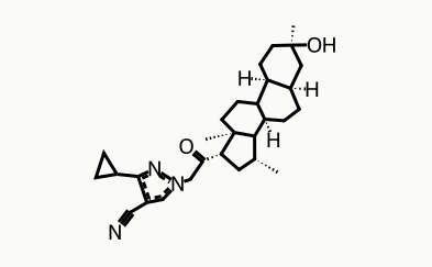 C[C@@H]1C[C@H](C(=O)Cn2cc(C#N)c(C3CC3)n2)[C@@]2(C)CCC3[C@@H](CC[C@@H]4C[C@](C)(O)CC[C@H]34)C12